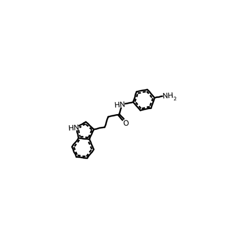 Nc1ccc(NC(=O)CCc2c[nH]c3ccccc23)cc1